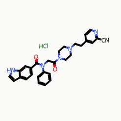 Cl.N#Cc1cc(CCN2CCN(C(=O)CN(C(=O)c3ccc4cc[nH]c4c3)c3ccccc3)CC2)ccn1